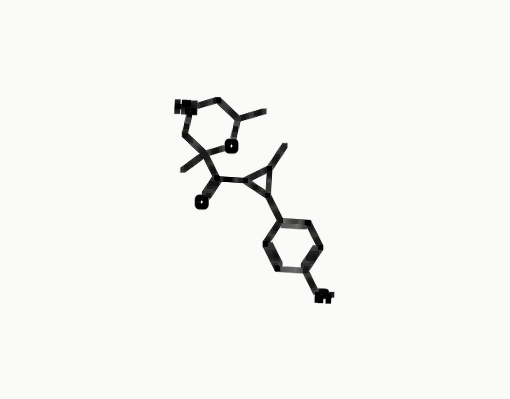 CC1CNCC(C)(C(=O)C2C(C)C2c2ccc(C(C)C)cc2)O1